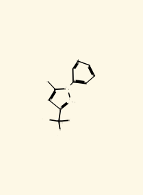 Cc1cc(C(F)(F)F)nn1-c1ccccc1